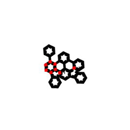 c1ccc(-c2cccc(-c3c(-c4ccccc4)ccc4c3[nH]c3ccccc34)c2-c2c(-c3ccccc3)ccc3c2[nH]c2ccccc23)cc1